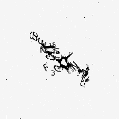 CCN(C)C=Nc1cc(C(F)(F)F)c(Oc2nc(C(C)(C)C)cs2)cc1C